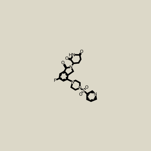 O=C1CCC(N2Cc3c(cc(F)cc3N3CCN(S(=O)(=O)c4cccnc4)CC3)C2=O)C(=O)N1